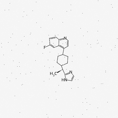 C[C@H](c1ncc[nH]1)C1CCC(c2ccnc3ccc(F)cc23)CC1